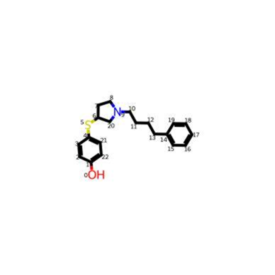 Oc1ccc(SC2CCN(CCCCc3ccccc3)C2)cc1